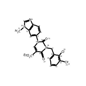 CCOC(=O)c1cn(-c2ccc3ncn(C)c3c2)c(=O)n(Cc2cccc(C(F)(F)F)c2Cl)c1=O